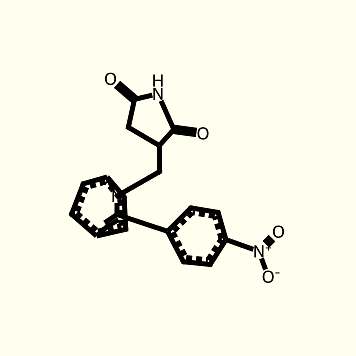 O=C1CC(CN2C(c3ccc([N+](=O)[O-])cc3)=Cc3ccc2cc3)C(=O)N1